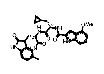 COc1cccc2[nH]c(C(=O)N[C@@H](CC3CC3)C(=O)N[C@@H](CC3C(=O)Nc4ccc(C)cc43)C(N)=O)cc12